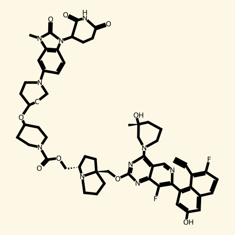 C#Cc1c(F)ccc2cc(O)cc(-c3ncc4c(N5CCC[C@@](C)(O)C5)nc(OC[C@@]56CCCN5[C@H](COC(=O)N5CCC(OC7CCN(c8ccc9c(c8)n(C)c(=O)n9C8CCC(=O)NC8=O)CC7)CC5)CC6)nc4c3F)c12